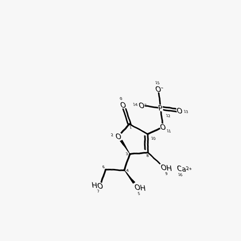 O=C1O[C@H]([C@@H](O)CO)C(O)=C1OP(=O)([O-])[O-].[Ca+2]